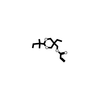 C=CC(=O)OCC1(CC)COC(C(C)(C)CC)OC1